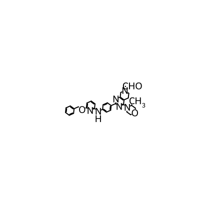 CC1COCCN1c1nc(-c2ccc(Nc3cccc(OCc4ccccc4)n3)cc2)nc2c1CCN(C=O)C2